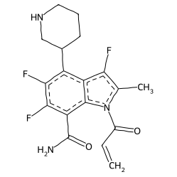 C=CC(=O)n1c(C)c(F)c2c(C3CCCNC3)c(F)c(F)c(C(N)=O)c21